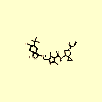 C=CC(=O)N1CC(NC(=O)c2c(C)nc(CNc3n[nH]c4cc(Cl)c(C(C)(C)C)cc34)n2C)C2(CC2)C1